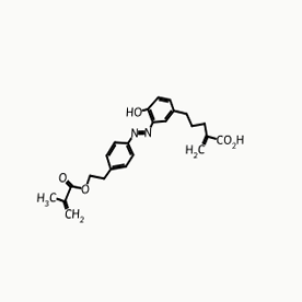 C=C(C)C(=O)OCCc1ccc(/N=N/c2cc(CCCC(=C)C(=O)O)ccc2O)cc1